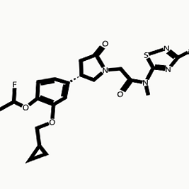 CC(C)c1nsc(N(C)C(=O)CN2C[C@H](c3ccc(OC(F)F)c(OCC4CC4)c3)CC2=O)n1